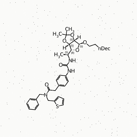 CCCCCCCCCCCCO[C@H]1O[C@H]([C@H](C)NC(=O)Nc2ccc(CC(=O)N(Cc3ccccc3)Cc3cccs3)cc2)[C@@H]2OC(C)(C)O[C@H]12